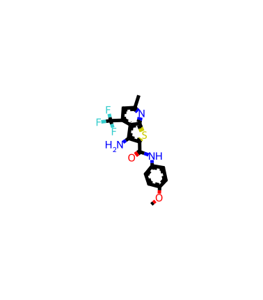 COc1ccc(NC(=O)c2sc3nc(C)cc(C(F)(F)F)c3c2N)cc1